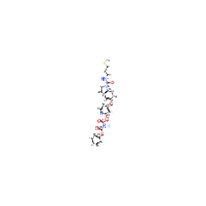 CSCCCNC(=O)n1ccc2cc(Oc3ccnc(OC(=O)NC(=O)Oc4ccccc4)c3)ccc21